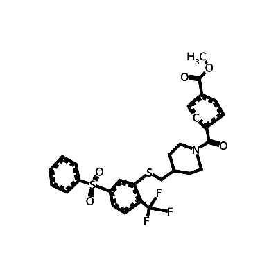 COC(=O)c1ccc(C(=O)N2CCC(CSc3cc(S(=O)(=O)c4ccccc4)ccc3C(F)(F)F)CC2)cc1